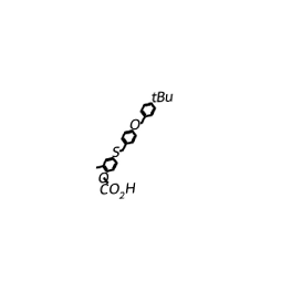 Cc1cc(SCc2ccc(OCc3ccc(C(C)(C)C)cc3)cc2)ccc1OCC(=O)O